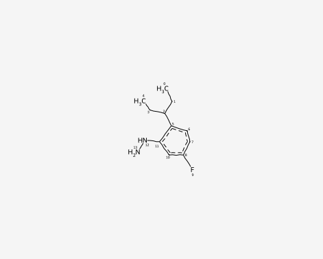 CCC(CC)c1ccc(F)cc1NN